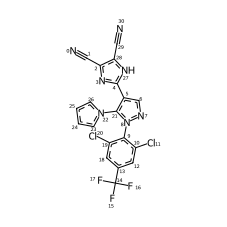 N#Cc1nc(-c2cnn(-c3c(Cl)cc(C(F)(F)F)cc3Cl)c2-n2cccc2)[nH]c1C#N